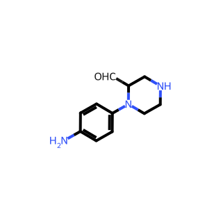 Nc1ccc(N2CCNCC2C=O)cc1